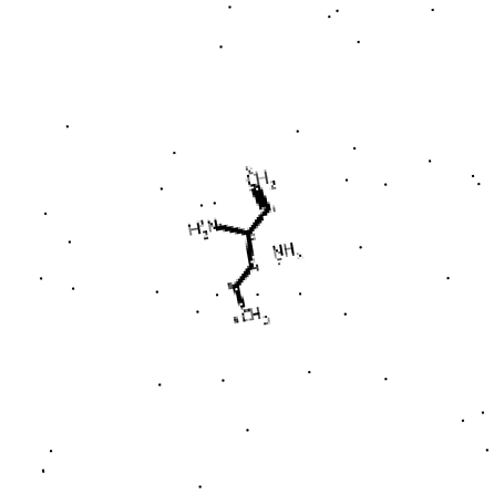 C=CC(N)CCC.N